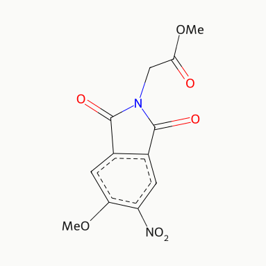 COC(=O)CN1C(=O)c2cc(OC)c([N+](=O)[O-])cc2C1=O